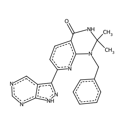 CC1(C)NC(=O)c2ccc(-c3n[nH]c4ncncc34)nc2N1Cc1ccccc1